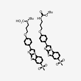 CC(C)(C)N(CCCOc1ccc(-c2cn3c(n2)sc2cc(S(C)(=O)=O)ccc23)cc1)C(=O)O.CC(C)(C)OC(=O)NCCCOc1ccc(-c2cn3c(n2)sc2cc(S(C)(=O)=O)ccc23)cc1